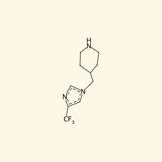 FC(F)(F)c1cn(CC2CCNCC2)cn1